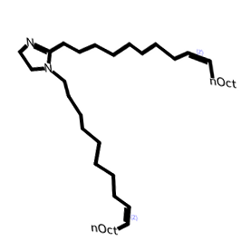 CCCCCCCC/C=C\CCCCCCCCC1=NCCN1CCCCCCCC/C=C\CCCCCCCC